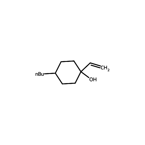 C=CC1(O)CCC(CCCC)CC1